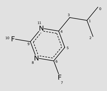 CC(C)Cc1cc(F)nc(F)n1